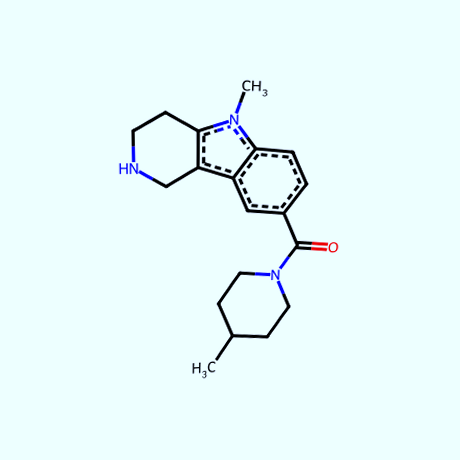 CC1CCN(C(=O)c2ccc3c(c2)c2c(n3C)CCNC2)CC1